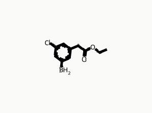 Bc1cc(Cl)cc(CC(=O)OCC)c1